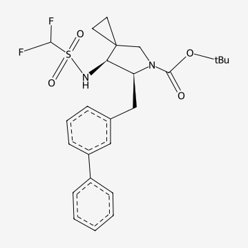 CC(C)(C)OC(=O)N1CC2(CC2)[C@H](NS(=O)(=O)C(F)F)[C@@H]1Cc1cccc(-c2ccccc2)c1